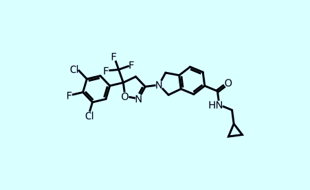 O=C(NCC1CC1)c1ccc2c(c1)CN(C1=NOC(c3cc(Cl)c(F)c(Cl)c3)(C(F)(F)F)C1)C2